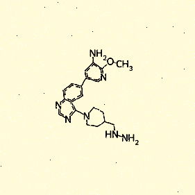 COc1ncc(-c2ccc3ncnc(N4CCC(CNN)CC4)c3c2)cc1N